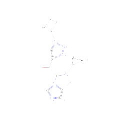 OC(c1cn(C2CCC2)nn1)C1N(C2CC2)Cc2cncn21